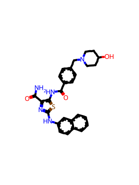 NC(=O)c1nc(Nc2ccc3ccccc3c2)sc1NC(=O)c1ccc(CN2CCC(O)CC2)cc1